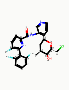 C[C@H]1C[C@H](c2ccncc2NC(=O)c2ccc(F)c(-c3c(F)cccc3F)n2)O[C@H](CCl)[C@H]1O